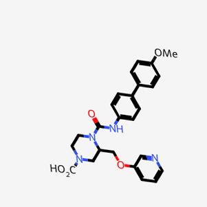 COc1ccc(-c2ccc(NC(=O)N3CCN(C(=O)O)CC3COc3cccnc3)cc2)cc1